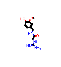 COc1cc(CNC(=O)CNC(=N)N)ccc1O